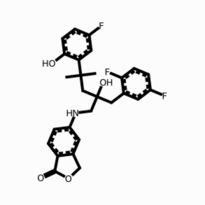 CC(C)(CC(O)(CNc1ccc2c(c1)COC2=O)Cc1cc(F)ccc1F)c1cc(F)ccc1O